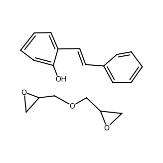 C(OCC1CO1)C1CO1.Oc1ccccc1C=Cc1ccccc1